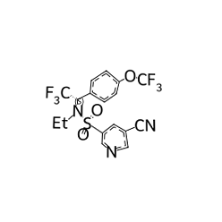 CCN([C@@H](c1ccc(OC(F)(F)F)cc1)C(F)(F)F)S(=O)(=O)c1cncc(C#N)c1